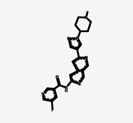 CN1CCC(n2cc(-c3cc4cc(NC(=O)c5cncc(F)c5)ncc4cn3)cn2)CC1